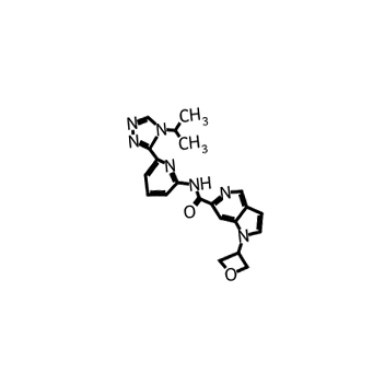 CC(C)n1cnnc1-c1cccc(NC(=O)c2cc3c(ccn3C3COC3)cn2)n1